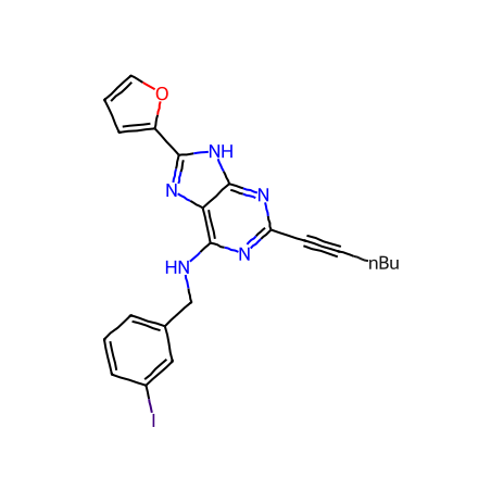 CCCCC#Cc1nc(NCc2cccc(I)c2)c2nc(-c3ccco3)[nH]c2n1